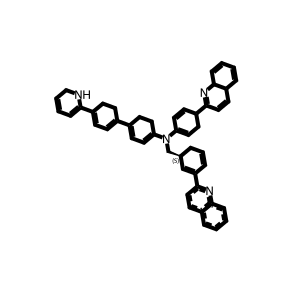 C1=CCNC(C2=CC=C(C3=CC=C(N(C[C@@H]4C=C(c5ccc6ccccc6n5)C=CC4)C4=CCC(C5=NC6C=CC=CC6C=C5)C=C4)CC3)CC2)=C1